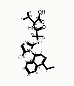 CCc1ccc(-n2c(Cl)cnc2SC(C)(C)C(=O)NC(C(=O)O)C(C)C)c2ccccc12